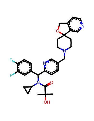 CC(C)(O)C(=O)N(C1CC1)C(c1ccc(F)c(F)c1)c1ccc(CN2CCC3(CC2)OCc2ccncc23)cn1